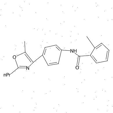 CCCc1nc(-c2ccc(NC(=O)c3ccccc3C)cc2)c(C)o1